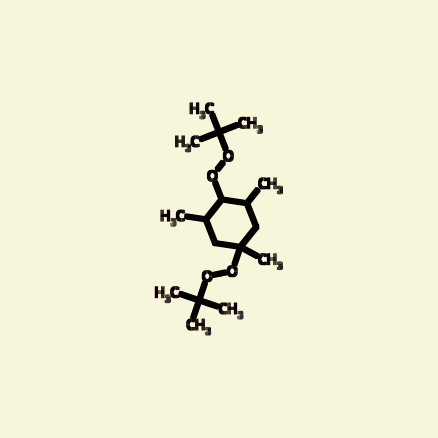 CC1CC(C)(OOC(C)(C)C)CC(C)C1OOC(C)(C)C